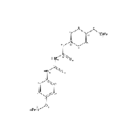 CCCCCOc1ccc(NC(=S)NC(=O)CN2CCC(COC)CC2)cc1